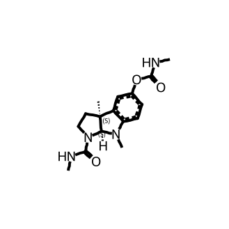 CNC(=O)Oc1ccc2c(c1)[C@]1(C)CCN(C(=O)NC)[C@@H]1N2C